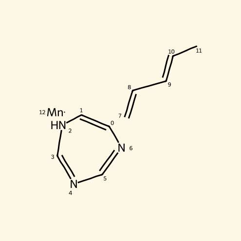 C1=CNC=NC=N1.C=CC=CC.[Mn]